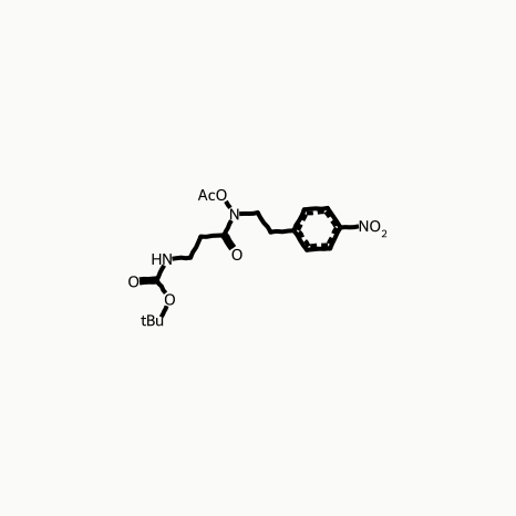 CC(=O)ON(CCc1ccc([N+](=O)[O-])cc1)C(=O)CCNC(=O)OC(C)(C)C